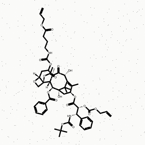 C=CCOC(=O)CCCNC(=O)OC1C[C@H]2OC[C@@]2(OC(C)=O)[C@H]2[C@H](OC(=O)c3ccccc3)[C@]3(O)C[C@H](OC(=O)[C@H](OC(=O)OCC=C)[C@@H](NC(=O)OC(C)(C)C)c4ccccc4)C(C)=C([C@@H](O)C(=O)[C@]12C)C3(C)C